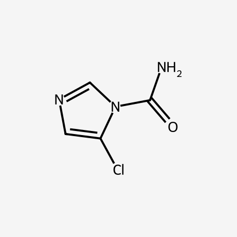 NC(=O)n1cncc1Cl